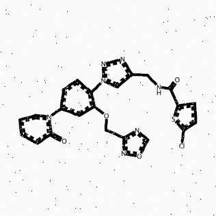 O=C(NCc1cn(-c2ccc(-n3ccccc3=O)cc2OCc2ncon2)nn1)c1ccc(Cl)s1